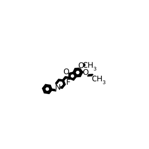 CCCOc1cc2c(cc1OC)C(=O)C(F)(CC1CCN(Cc3ccccc3)CC1)C2